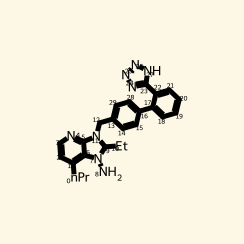 CCCc1ccnc2c1N(N)C(CC)N2Cc1ccc(-c2ccccc2-c2nnn[nH]2)cc1